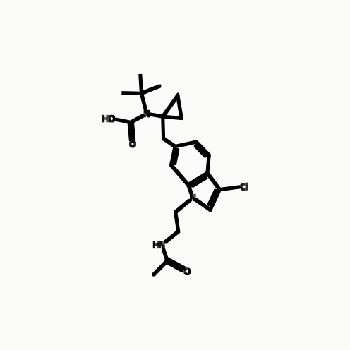 CC(=O)NCCn1cc(Cl)c2ccc(CC3(N(C(=O)O)C(C)(C)C)CC3)cc21